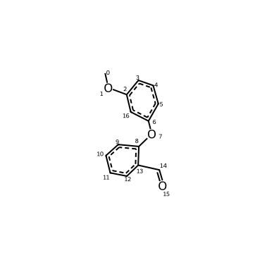 COc1cccc(Oc2ccccc2C=O)c1